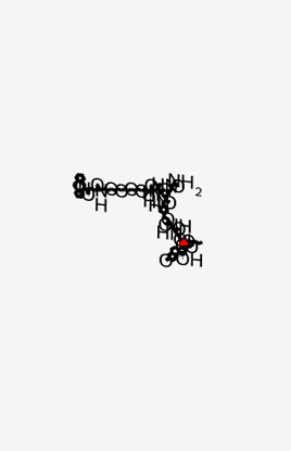 CCCC1O[C@@H]2CC3C4CCC5=CC(=O)C=C[C@]5(C)C4[C@@H](O)C[C@]3(C)[C@]2(C(=O)COCNC(=O)CNC(=O)OCc2ccc(NC(=O)[C@H](CCCNC(N)=O)NC(=O)[C@@H](NC(=O)CCOCCOCCOCCOCCNC(=O)CCC(=O)N3Cc4ccccc4C#Cc4ccccc43)C(C)C)cc2)O1